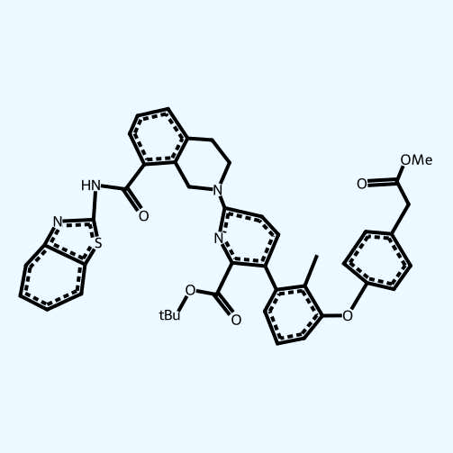 COC(=O)Cc1ccc(Oc2cccc(-c3ccc(N4CCc5cccc(C(=O)Nc6nc7ccccc7s6)c5C4)nc3C(=O)OC(C)(C)C)c2C)cc1